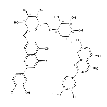 COc1ccc(-c2cc(=O)c3c(O)cc(O)cc3o2)cc1O.COc1ccc(-c2cc(=O)c3c(O)cc(O[C@@H]4O[C@H](CO[C@@H]5O[C@@H](C)[C@H](O)[C@@H](O)[C@H]5O)[C@@H](O)[C@H](O)[C@H]4O)cc3o2)cc1O